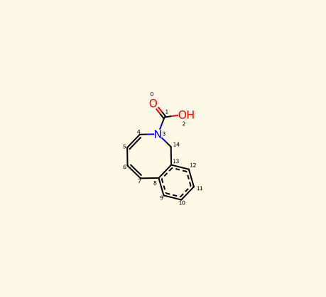 O=C(O)N1C=CC=Cc2ccccc2C1